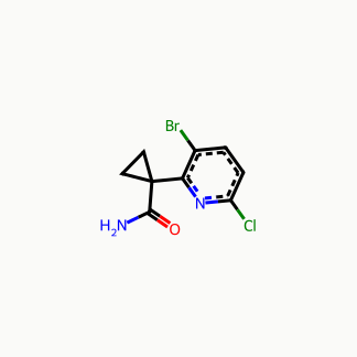 NC(=O)C1(c2nc(Cl)ccc2Br)CC1